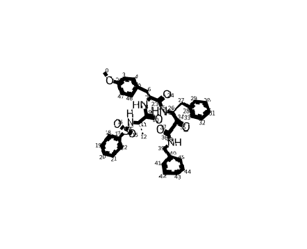 COc1ccc(C[C@H](NC(=O)[C@H](C)NS(=O)(=O)c2ccccc2)C(=O)N[C@@H](Cc2ccccc2)C(=O)C(=O)NCc2ccccc2)cc1